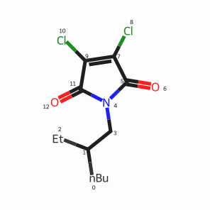 CCCCC(CC)CN1C(=O)C(Cl)=C(Cl)C1=O